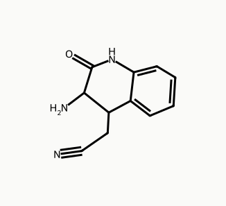 N#CCC1c2ccccc2NC(=O)C1N